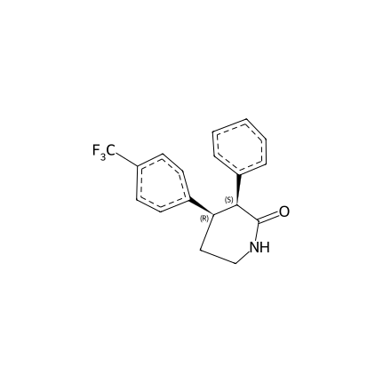 O=C1NCC[C@@H](c2ccc(C(F)(F)F)cc2)[C@H]1c1ccccc1